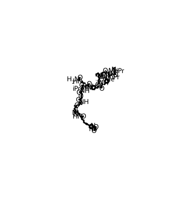 CC[C@H](C)[C@@H]([C@@H](CC(=O)N1CCC[C@H]1[C@H](OC)[C@@H](C)C(=O)N[C@@H](Cc1ccccc1)C(=O)NCc1ccc(NC(=O)[C@H](CCCNC(N)=O)NC(=O)[C@@H](NC(=O)COCC(=O)NC(C)(C)COC(C)(C)Cn2cc(CNC(=O)CCCC#Cc3cnc(S(C)(=O)=O)nc3)nn2)C(C)C)cc1)OC)N(C)C(=O)[C@@H](NC(=O)[C@H](C(C)C)N(C)C)C(C)C